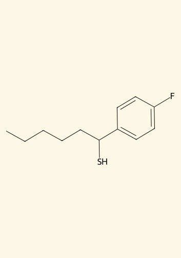 CCCCCC(S)c1ccc(F)cc1